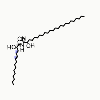 CCCCCCCCC/C=C/C=C/[C@@H](O)[C@H](CO)NC(=O)C(O)CCCCCCCCCCCCCCCCCCCCCC